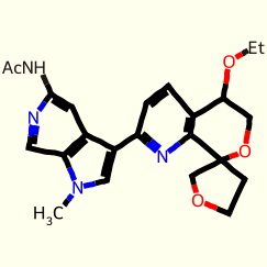 CCOC1COC2(CCOC2)c2nc(-c3cn(C)c4cnc(NC(C)=O)cc34)ccc21